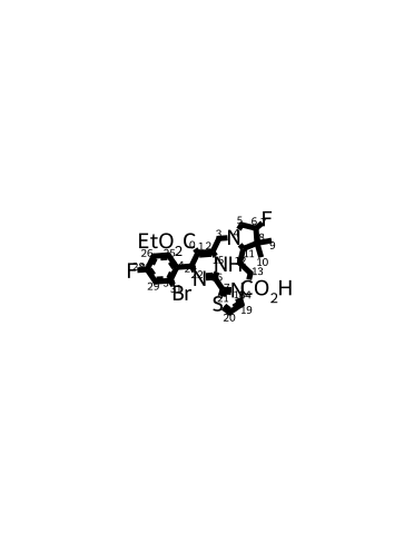 CCOC(=O)C1=C(CN2CC(F)C(C)(C)C2CCC(=O)O)NC(c2nccs2)=NC1c1ccc(F)cc1Br